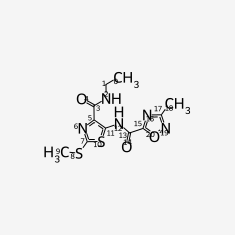 CCNC(=O)c1nc(SC)sc1NC(=O)c1nc(C)no1